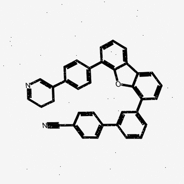 N#Cc1ccc(-c2cccc(-c3cccc4c3oc3c(-c5ccc(C6=CN=CCC6)cc5)cccc34)c2)cc1